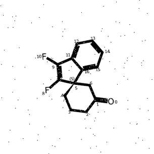 O=C1CCC[C@@]2(C1)C(F)=C(F)c1ccccc12